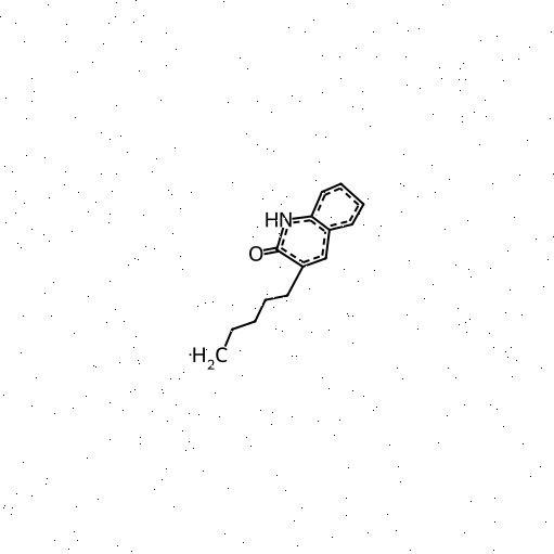 [CH2]CCCCc1cc2ccccc2[nH]c1=O